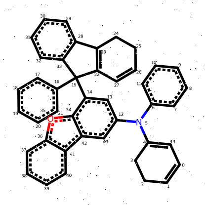 C1=CCCC(N(c2ccccc2)c2cc(C3(c4ccccc4)C4=C(CCC=C4)c4ccccc43)c3oc4ccccc4c3c2)=C1